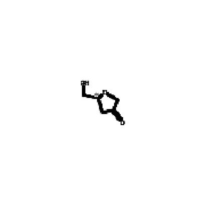 O=C1CO[C@H](CO)C1